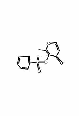 Cc1occc(=O)c1OS(=O)(=O)c1ccccc1